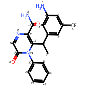 CC(c1cc(N)cc(C(F)(F)F)c1)c1c(C(N)=O)ncc(=O)n1-c1ccccc1